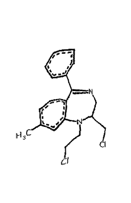 Cc1ccc2c(c1)N(CCCl)C(CCl)CN=C2c1ccccc1